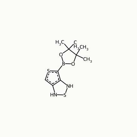 CC1(C)OB(c2scc3c2NSN3)OC1(C)C